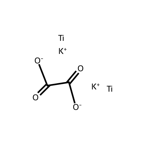 O=C([O-])C(=O)[O-].[K+].[K+].[Ti].[Ti]